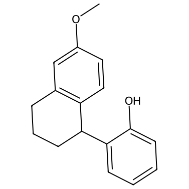 COc1ccc2c(c1)CCCC2c1ccccc1O